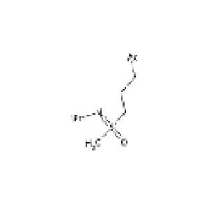 CC(=O)CCCS(C)(=O)=NC(C)C